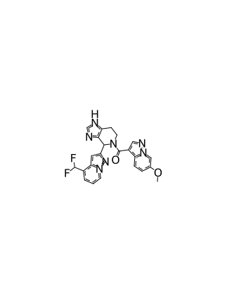 COc1ccc2c(C(=O)N3CCc4[nH]cnc4C3c3cc4c(C(F)F)cccn4n3)cnn2c1